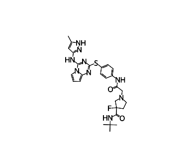 Cc1cc(Nc2nc(Sc3ccc(NC(=O)CN4CCC(F)(C(=O)NC(C)(C)C)C4)cc3)nc3cccn23)n[nH]1